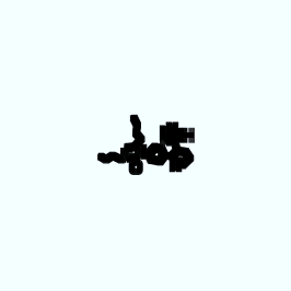 CCCCc1cn(CCCC)c(=O)n1-c1ccc(-c2ncccc2-c2nnn[nH]2)cc1